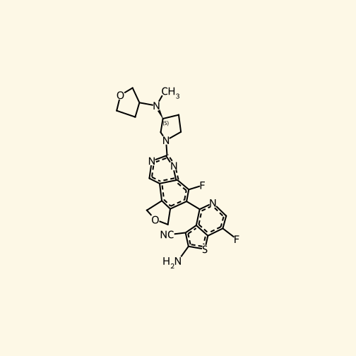 CN(C1CCOC1)[C@H]1CCN(c2ncc3c4c(c(-c5ncc(F)c6sc(N)c(C#N)c56)c(F)c3n2)COC4)C1